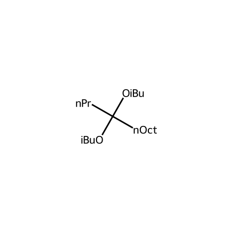 CCCCCCCCC(CCC)(OCC(C)C)OCC(C)C